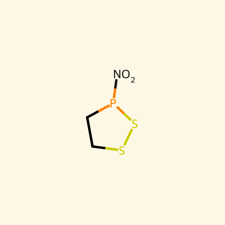 O=[N+]([O-])P1CCSS1